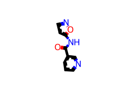 O=C(Nc1ccno1)c1cccnc1